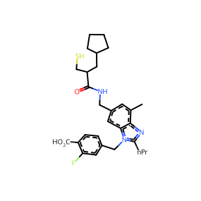 CCCc1nc2c(C)cc(CNC(=O)C(CS)CC3CCCC3)cc2n1Cc1ccc(C(=O)O)c(F)c1